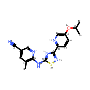 Cc1cc(C#N)cnc1Nc1nc(-c2ccc(OC(C)C)cn2)ns1